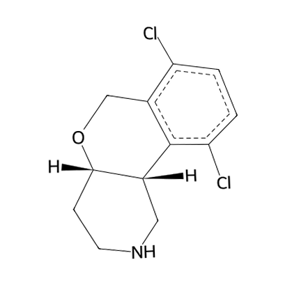 Clc1ccc(Cl)c2c1CO[C@H]1CCNC[C@@H]21